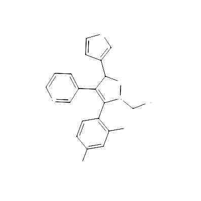 OCN1OC(c2ccsc2)C(c2cccnc2)=C1c1ccc(C(F)(F)F)cc1F